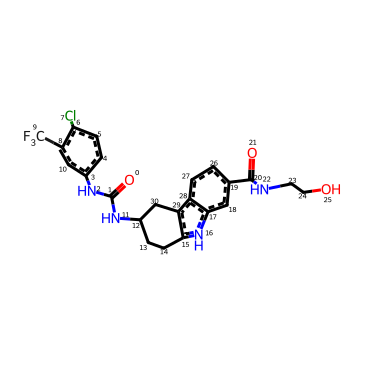 O=C(Nc1ccc(Cl)c(C(F)(F)F)c1)NC1CCc2[nH]c3cc(C(=O)NCCO)ccc3c2C1